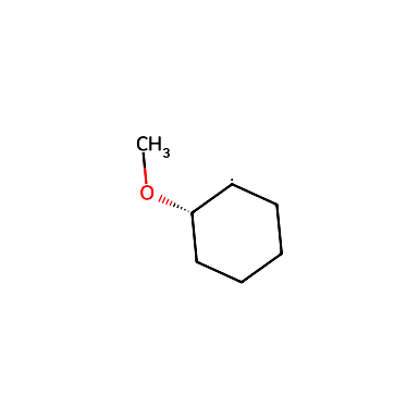 CO[C@@H]1[CH]CCCC1